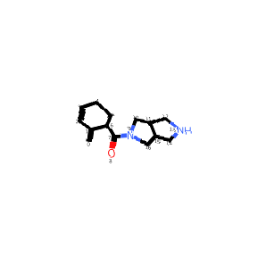 C=C1C=CCCC1C(=O)N1CC2CNCC2C1